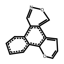 C1=COc2c(c3c(c4ccccc24)C=NOC=3)=C1